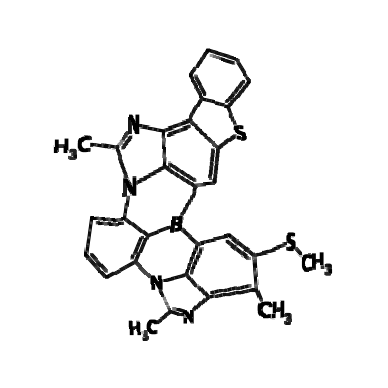 CSc1cc2c3c(nc(C)n3-c3cccc4c3B2c2cc3sc5ccccc5c3c3nc(C)n-4c23)c1C